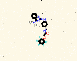 CN(C)c1nc(N[C@H]2CC[C@@H](CNC(=O)COc3c(F)c(F)c(F)c(F)c3F)CC2)nc2ccccc12